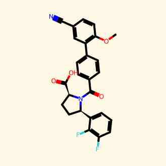 COc1ccc(C#N)cc1-c1ccc(C(=O)N2[C@@H](c3cccc(F)c3F)CC[C@H]2C(=O)O)cc1